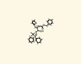 CC(C)(C)[Si](OCC(O)C(Cn1cccn1)NC(=O)OCc1ccccc1)(c1ccccc1)c1ccccc1